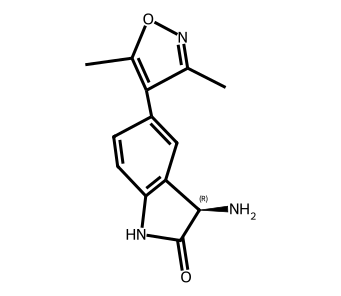 Cc1noc(C)c1-c1ccc2c(c1)[C@@H](N)C(=O)N2